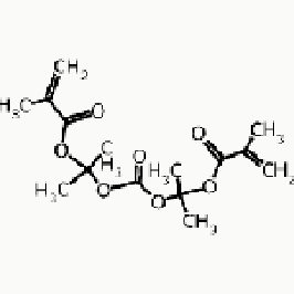 C=C(C)C(=O)OC(C)(C)OC(=O)OC(C)(C)OC(=O)C(=C)C